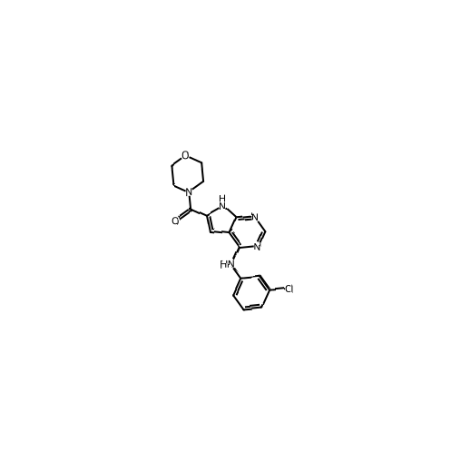 O=C(c1cc2c(Nc3cccc(Cl)c3)ncnc2[nH]1)N1CCOCC1